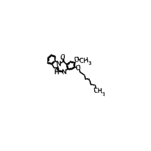 CCCCCCCOc1cc2c(cc1OC)C(=O)N1c3ccccc3C[C@H]1C=N2